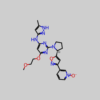 COCCOc1cc(Nc2cc(C)[nH]n2)nc(N2CCC[C@H]2c2cc(-c3ccc[n+]([O-])c3)no2)n1